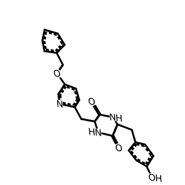 O=C1NC(Cc2ccc(OCc3ccccc3)cn2)C(=O)NC1Cc1ccc(O)cc1